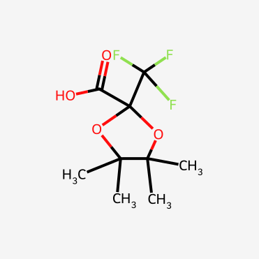 CC1(C)OC(C(=O)O)(C(F)(F)F)OC1(C)C